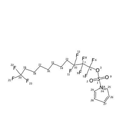 O=S(=O)(OC(F)(F)C(F)(F)C(F)(F)CCCCCCCC(F)(F)F)[n+]1ccccc1